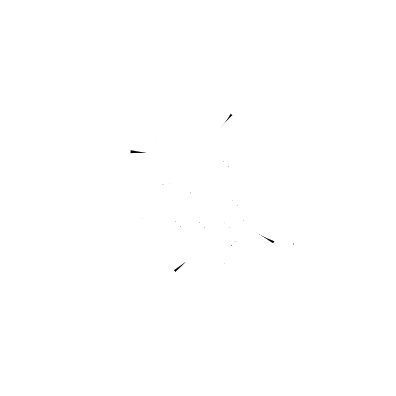 CCN(C)S12(N(C)CC)(N(CC)[C@H](C)C[C@H](C)N1CC)N(CC)[C@H](C)C[C@H](C)N2CC